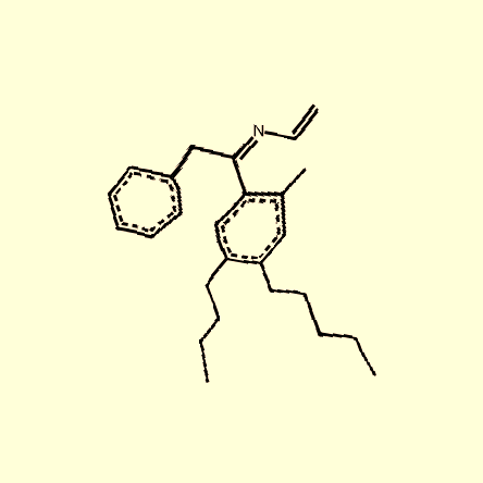 C=C/N=C(/Cc1ccccc1)c1cc(CCCC)c(CCCCC)cc1C